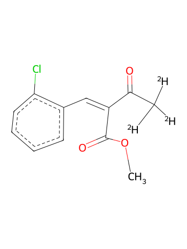 [2H]C([2H])([2H])C(=O)C(=Cc1ccccc1Cl)C(=O)OC